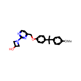 COc1ccc(C(C)(C)c2ccc(OCc3ccnc(N4CC(O)C4)n3)cc2)cc1